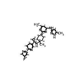 Cc1cc(Nc2cc(C)[nH]n2)nc(N2CCC(C)(NC3(c4ccc(-n5cc(F)cn5)nc4)CC3)CC2)n1